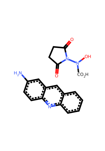 Nc1ccc2nc3ccccc3cc2c1.O=C(O)N(O)N1C(=O)CCC1=O